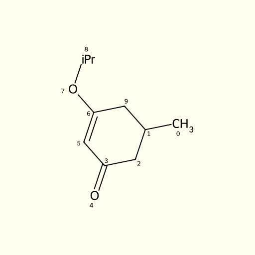 CC1CC(=O)C=C(OC(C)C)C1